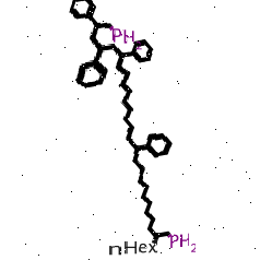 CCCCCCC(CP)CCCCCCCCCC(CCCCCCCCCC(CC(CC(CP)c1ccccc1)c1ccccc1)c1ccccc1)c1ccccc1